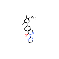 COc1cc(C2CCc3c(cnn(-c4ncccn4)c3=O)C2)c(C)cc1C